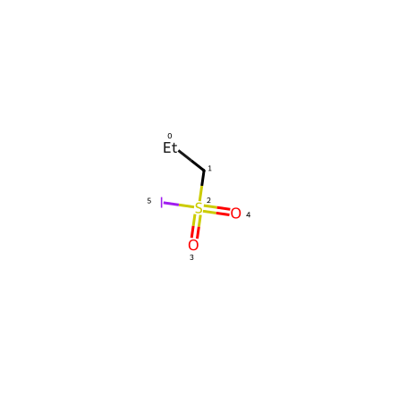 CCCS(=O)(=O)I